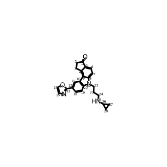 O=C1CCc2c1ccc1c2c2cc(-c3ncco3)ccc2n1CCCNC1CC1